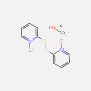 O=S(=O)(O)O.[O-][n+]1ccccc1SSc1cccc[n+]1[O-].[Zr]